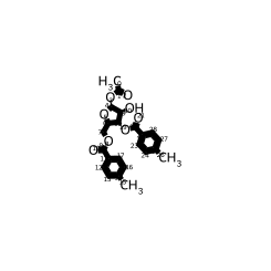 CC(=O)O[C@H]1OC(COC(=O)c2ccc(C)cc2)[C@H](OC(=O)c2ccc(C)cc2)[C@@H]1O